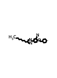 CCCCCCCCc1cnc(-c2ccc(OCC3CC[CH]CC3)c(C#N)c2)nc1